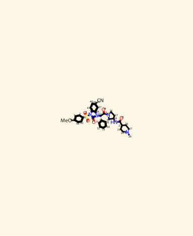 COc1ccc(S(=O)(=O)n2c(=O)n([C@H](C(=O)N3CCC(NC(=O)C4CCN(C)CC4)C3)c3ccccc3)c3cc(C#N)ccc32)cc1